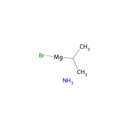 C[CH](C)[Mg][Br].N